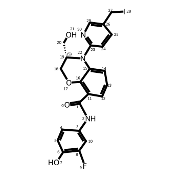 O=C(Nc1ccc(O)c(F)c1)c1cccc2c1OC[C@H](CO)N2c1ccc(CI)cn1